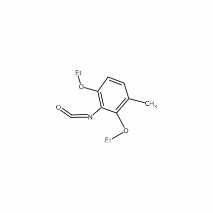 CCOc1ccc(C)c(OCC)c1N=C=O